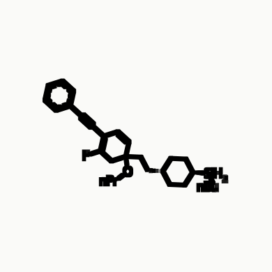 CCCC[SiH2][C@H]1CC[C@H](CCC2(OCCC)C=CC(C#Cc3ccccc3)=C(F)C2)CC1